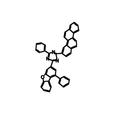 c1ccc(-c2nc(-c3cc(-c4ccccc4)c4c(c3)oc3ccccc34)nc(-c3ccc4ccc5c6ccccc6ccc5c4c3)n2)cc1